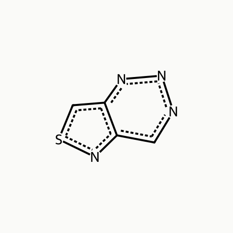 c1snc2cnnnc12